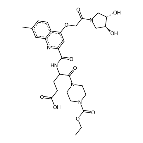 CCOC(=O)N1CCN(C(=O)C(CCC(=O)O)NC(=O)c2cc(OCC(=O)N3C[C@H](O)[C@@H](O)C3)c3ccc(C)cc3n2)CC1